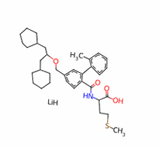 CSCCC(NC(=O)c1ccc(COC(CC2CCCCC2)CC2CCCCC2)cc1-c1ccccc1C)C(=O)O.[LiH]